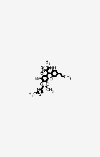 CCCC1CC(=O)C2=C(C1)NC(C)=C([N+](=O)[O-])C2c1cc(Br)c(OCc2csc(C)n2)c(OCC)c1